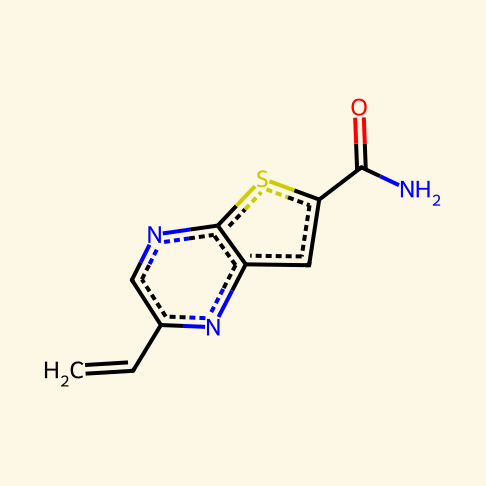 C=Cc1cnc2sc(C(N)=O)cc2n1